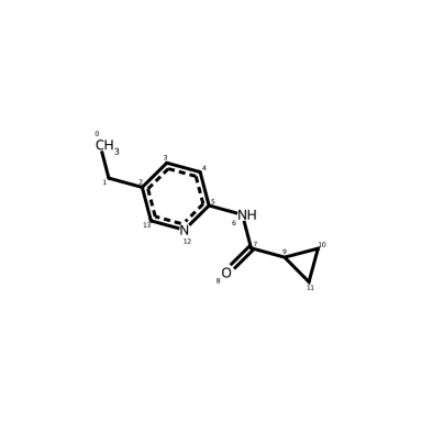 CCc1ccc(NC(=O)C2CC2)nc1